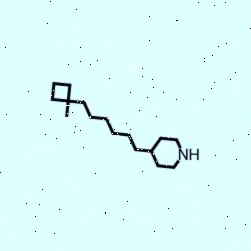 CC1(CCCCCCC2CCNCC2)CCC1